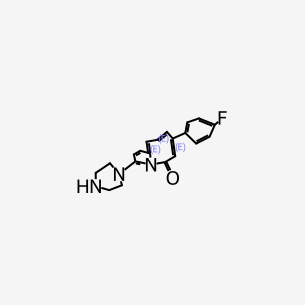 O=C1\C=C(c2ccc(F)cc2)/C=C/C=C2\C=CC(N3CCNCC3)=CN12